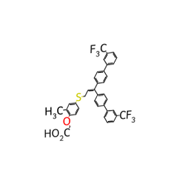 Cc1cc(SCC=C(c2ccc(-c3cccc(C(F)(F)F)c3)cc2)c2ccc(-c3cccc(C(F)(F)F)c3)cc2)ccc1OCC(=O)O